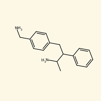 CC(N)C(Cc1ccc(CN)cc1)c1ccccc1